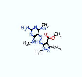 CNc1nc(N)nc(NC)c1/N=N/c1c(C(=O)OC)c(C)nn1C